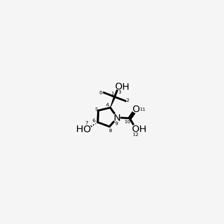 CC(C)(O)[C@@H]1C[C@@H](O)CN1C(=O)O